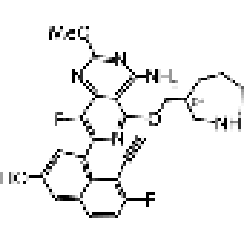 C#Cc1c(F)ccc2cc(O)cc(-c3nc(OC[C@H]4CCCCNC4)c4c(N)nc(OC)nc4c3F)c12